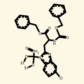 CCOC(OCC)([PH2]=O)n1c(CC(NC(=O)OCc2ccccc2)C(=O)OCc2ccccc2)nc2cc(Cl)ccc21